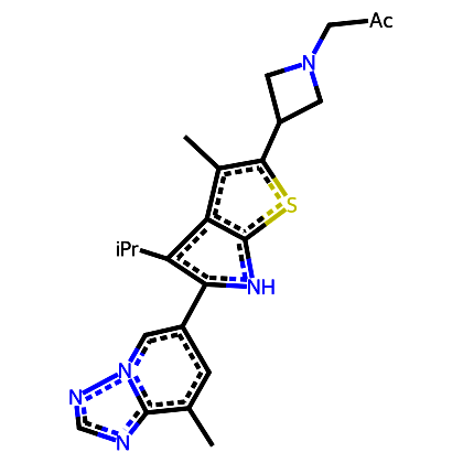 CC(=O)CN1CC(c2sc3[nH]c(-c4cc(C)c5ncnn5c4)c(C(C)C)c3c2C)C1